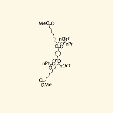 CCCCCCCCC(OC(=O)CCC)C(CCCCCCCC(=O)OC)OC(=O)C1CCC(C(=O)OC(CCCCCCCC)C(CCCCCCCC(=O)OC)OC(=O)CCC)CC1